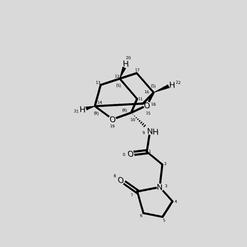 O=C(CN1CCCC1=O)N[C@]12C[C@@H]3C[C@H](C[C@H](C3)O1)O2